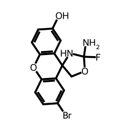 NC1(F)NC2(CO1)c1cc(O)ccc1Oc1ccc(Br)cc12